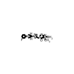 Bc1nc2ncn(Cc3nc([C@H]4[C@@H]5CN(c6cccc(F)c6)C[C@@H]54)no3)c(=O)c2n1C